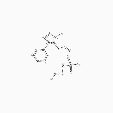 C=CCc1n(C)cc[n+]1-c1ccccc1.CCCOS(=O)(=O)[O-]